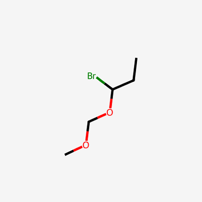 CCC(Br)OCOC